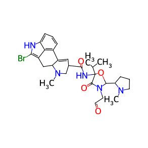 CC(C)C1(NC(=O)C2C=C3c4cccc5[nH]c(Br)c(c45)CC3N(C)C2)OC(C2CCCN2C)N(CC=O)C1=O